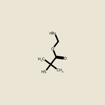 CCCCCOC(=O)C(C)(C)S